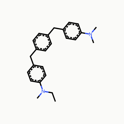 CCN(C)c1ccc(Cc2ccc(Cc3ccc(N(C)C)cc3)cc2)cc1